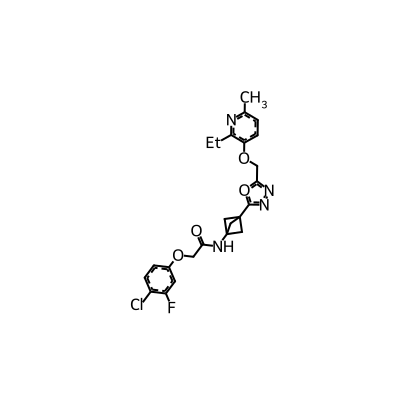 CCc1nc(C)ccc1OCc1nnc(C23CC(NC(=O)COc4ccc(Cl)c(F)c4)(C2)C3)o1